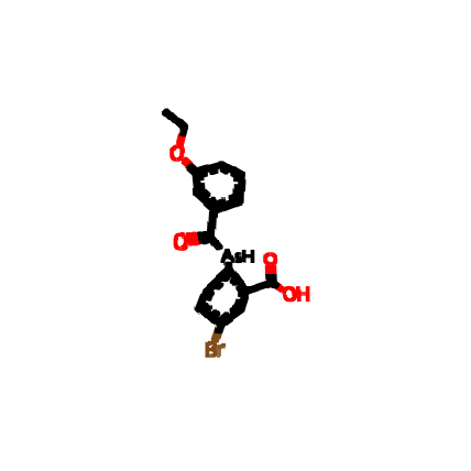 CCOc1cccc(C(=O)[AsH]c2ccc(Br)cc2C(=O)O)c1